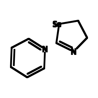 C1=NCC[Se]1.c1ccncc1